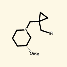 CO[C@@H]1CCCN(CC2(CC(C)C)CC2)C1